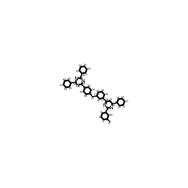 Cc1cccc(-c2nc(-c3ccccc3)cc(-c3cccc(Cc4ccc(-c5nc(-c6ccccc6)nc(-c6ccccc6)n5)cc4)c3)n2)c1